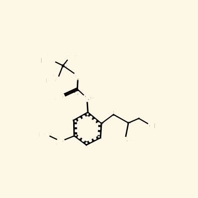 CCC(O)Cc1ccc(OC)cc1NC(=O)OC(C)(C)C